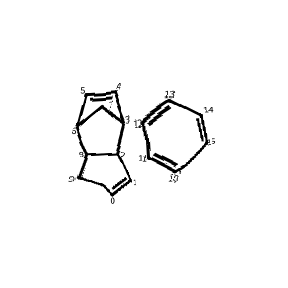 C1=CC2C3C=CC(C3)C2C1.[c]1ccccc1